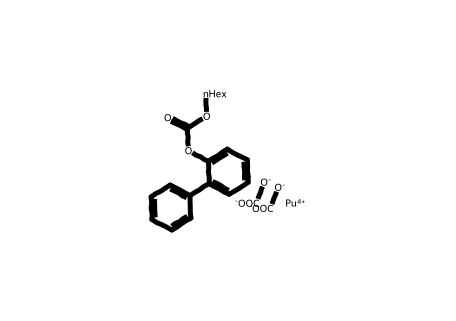 CCCCCCOC(=O)Oc1ccccc1-c1ccccc1.O=C([O-])[O-].O=C([O-])[O-].[Pu+4]